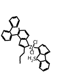 CCCC1=Cc2c(ccc(C)c2-c2ccccc2-c2ccccc2)[CH]1[Zr]([Cl])([Cl])[c]1cccc2c1[SiH2]c1ccccc1-2